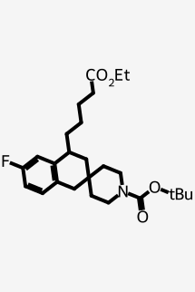 CCOC(=O)CCCCC1CC2(CCN(C(=O)OC(C)(C)C)CC2)Cc2ccc(F)cc21